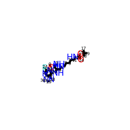 COC(=N)/C(=C\NCCCCCNC(=O)OC(C)(C)C)Nc1nc(F)nc2c1ncn2C